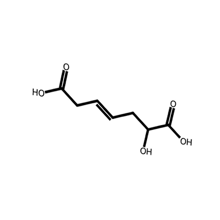 O=C(O)CC=CCC(O)C(=O)O